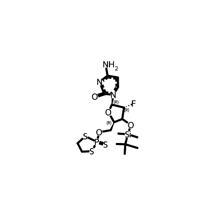 CC(C)(C)[Si](C)(C)OC1[C@@H](F)[C@H](n2ccc(N)nc2=O)O[C@@H]1COP1(=S)SCCS1